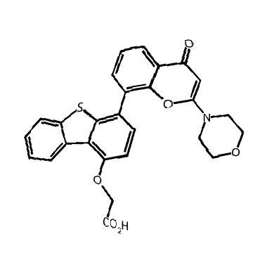 O=C(O)COc1ccc(-c2cccc3c(=O)cc(N4CCOCC4)oc23)c2sc3ccccc3c12